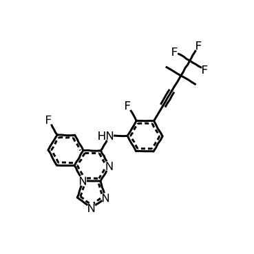 CC(C)(C#Cc1cccc(Nc2nc3nncn3c3ccc(F)cc23)c1F)C(F)(F)F